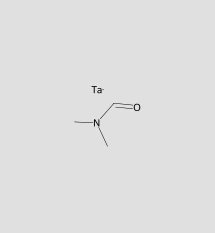 CN(C)C=O.[Ta]